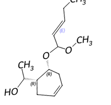 CC/C=C/C(OC)O[C@@H]1CC=CC[C@@H]1C(C)O